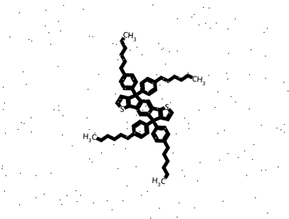 CCCCCCc1ccc(C2(c3ccc(CCCCCC)cc3)c3cc4c(cc3-c3sccc32)C(c2ccc(CCCCCC)cc2)(c2ccc(CCCCCC)cc2)c2ccsc2-4)cc1